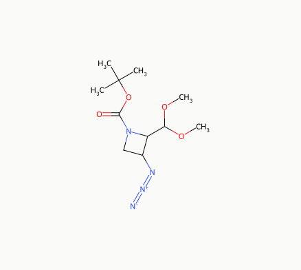 COC(OC)C1C(N=[N+]=[N-])CN1C(=O)OC(C)(C)C